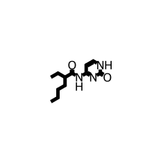 CCCCC(CC)C(=O)Nc1cc[nH]c(=O)n1